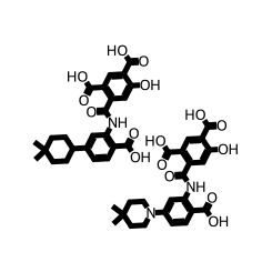 CC1(C)CCC(c2ccc(C(=O)O)c(NC(=O)c3cc(O)c(C(=O)O)cc3C(=O)O)c2)CC1.CC1(C)CCN(c2ccc(C(=O)O)c(NC(=O)c3cc(O)c(C(=O)O)cc3C(=O)O)c2)CC1